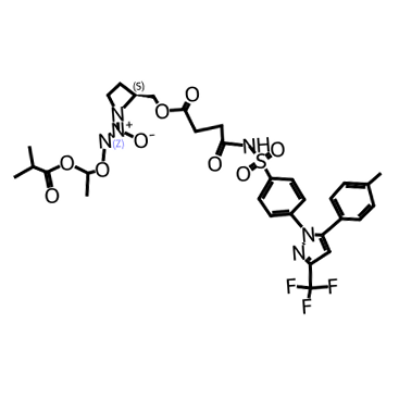 Cc1ccc(-c2cc(C(F)(F)F)nn2-c2ccc(S(=O)(=O)NC(=O)CCC(=O)OC[C@@H]3CCN3/[N+]([O-])=N/OC(C)OC(=O)C(C)C)cc2)cc1